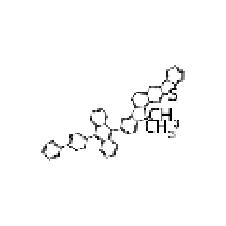 CC1(C)c2ccc(-c3c4ccccc4c(C4=CC=C(c5ccccc5)CC4)c4ccccc34)cc2-c2ccc3cc4c(cc3c21)sc1ccccc14